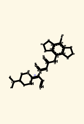 CN(C)C1CN/C(=C(\C=N)[SH](=O)=NC(=O)Nc2c3c(c(F)c4c2CCC4)CCC3)OC1